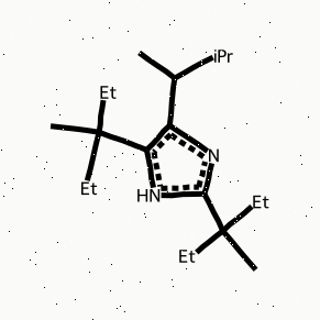 CCC(C)(CC)c1nc(C(C)C(C)C)c(C(C)(CC)CC)[nH]1